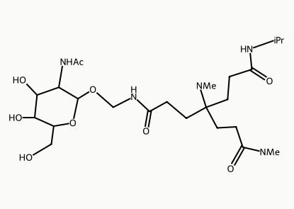 CNC(=O)CCC(CCC(=O)NCOC1OC(CO)C(O)C(O)C1NC(C)=O)(CCC(=O)NC(C)C)NC